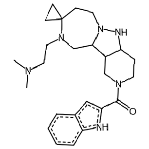 CN(C)CCN1CC2C3CN(C(=O)c4cc5ccccc5[nH]4)CCC3NN2CCC12CC2